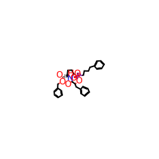 O=C(OCc1ccccc1)[C@@H]1CCCN1C(=O)C(Cc1ccccc1)OP(=O)(O)CCCCc1ccccc1